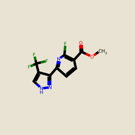 COC(=O)c1ccc(-c2n[nH]cc2C(F)(F)F)nc1F